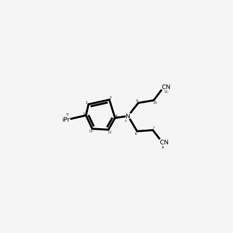 CC(C)c1ccc(N(CCC#N)CCC#N)cc1